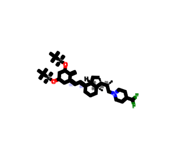 C=C1/C(=C\C=C2/CCC[C@]3(C)[C@@H]([C@H](C)CN4CCC(C(F)F)CC4)CC[C@@H]23)CC(O[Si](C)(C)C(C)(C)C)CC1O[Si](C)(C)C(C)(C)C